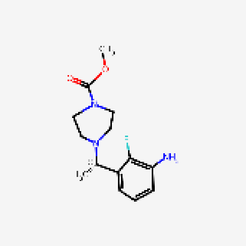 COC(=O)N1CCN([C@@H](C)c2cccc(N)c2F)CC1